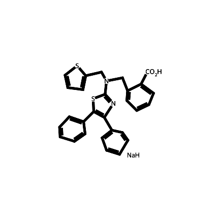 O=C(O)c1ccccc1CN(Cc1cccs1)c1nc(-c2ccccc2)c(-c2ccccc2)s1.[NaH]